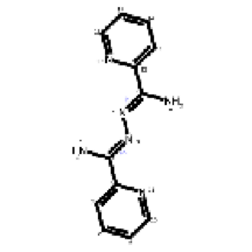 N/C(=N\N=C(/N)c1ccccn1)c1ccccn1